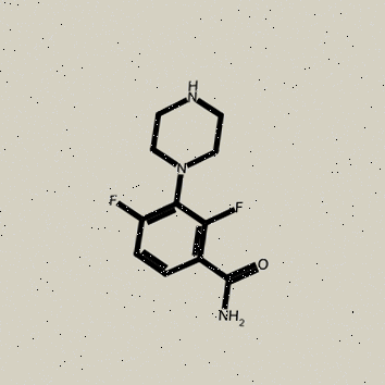 NC(=O)c1ccc(F)c(N2CCNCC2)c1F